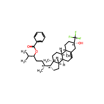 CC(C)C(CC[C@@H](C)[C@H]1CC[C@H]2[C@@H]3CC=C4C[C@](O)(C(F)(F)F)CC[C@]4(C)[C@H]3CC[C@]12C)OC(=O)c1ccccc1